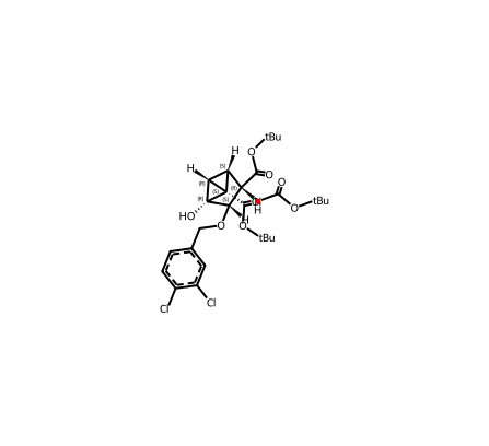 CC(C)(C)OC(=O)N[C@]1(C(=O)OC(C)(C)C)[C@H]2[C@H]3[C@](O)([C@H]1OCc1ccc(Cl)c(Cl)c1)[C@]23C(=O)OC(C)(C)C